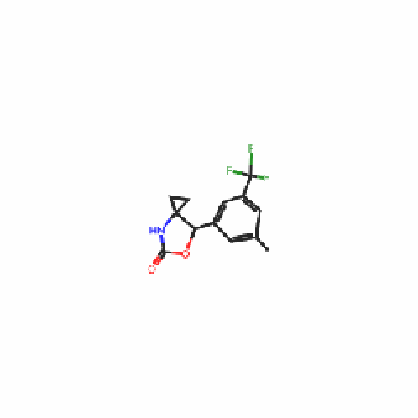 Cc1cc(C2OC(=O)NC23CC3)cc(C(F)(F)F)c1